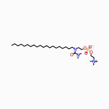 CCCCCCCCCCCCCCCCCCCCN(CCOP(=O)([O-])OCC[N+](C)(C)C)C(=O)N(C)C